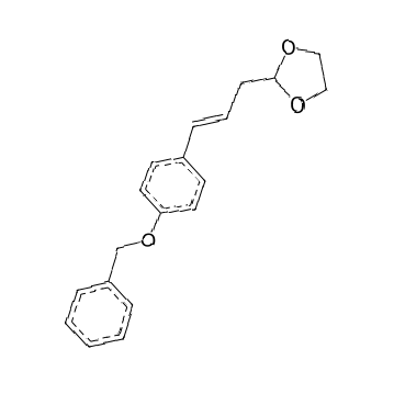 C(=C\c1ccc(OCc2ccccc2)cc1)/CC1OCCO1